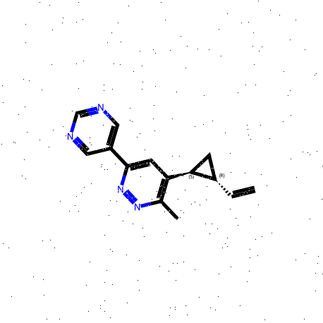 C=C[C@H]1C[C@@H]1c1cc(-c2cncnc2)nnc1C